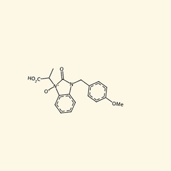 COc1ccc(CN2C(=O)[N+]([O-])(C(C)C(=O)O)c3ccccc32)cc1